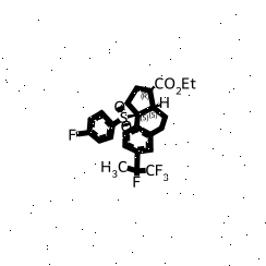 CCOC(=O)[C@@H]1CC[C@@]2(S(=O)(=O)c3ccc(F)cc3)c3ccc(C(C)(F)C(F)(F)F)cc3CC[C@@H]12